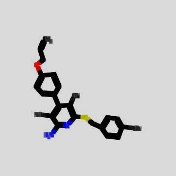 C=CCOc1ccc(-c2c(C#N)c(N)nc(SCc3ccc(C(C)(C)C)cc3)c2C#N)cc1